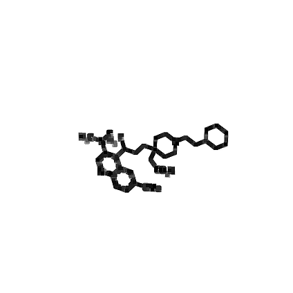 COc1ccc2ncc(N(C)C)c(C(F)CCC3(CC(=O)O)CCN(CCC4CCCCC4)CC3)c2c1